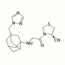 N#C[C@@H]1CSCN1C(=O)CNC12CC3CC1CC(Cn1cncn1)(C3)C2